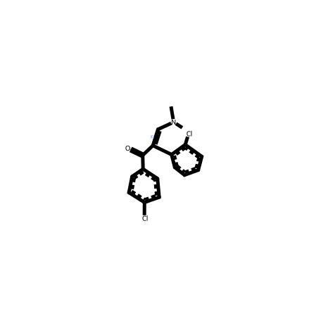 CN(C)/C=C(/C(=O)c1ccc(Cl)cc1)c1ccccc1Cl